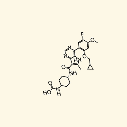 COc1cc(OCC2CC2)c(-c2ncnc3c(C(=O)N[C@H]4CC[C@H](NC(=O)O)CC4)c(C)[nH]c23)cc1F